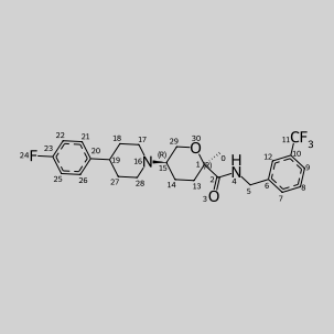 C[C@]1(C(=O)NCc2cccc(C(F)(F)F)c2)CC[C@@H](N2CCC(c3ccc(F)cc3)CC2)CO1